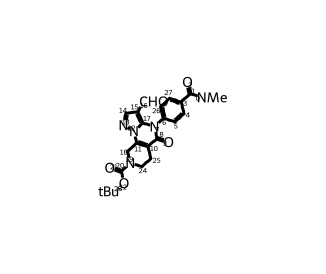 CNC(=O)c1ccc(-n2c(=O)c3c(n4ncc(C=O)c24)CN(C(=O)OC(C)(C)C)CC3)cc1